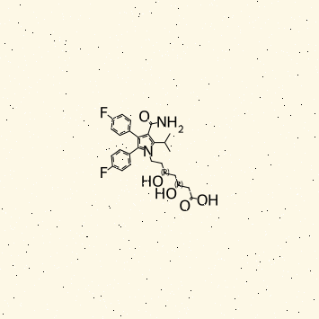 CC(C)c1c(C(N)=O)c(-c2ccc(F)cc2)c(-c2ccc(F)cc2)n1CC[C@@H](O)C[C@@H](O)CC(=O)O